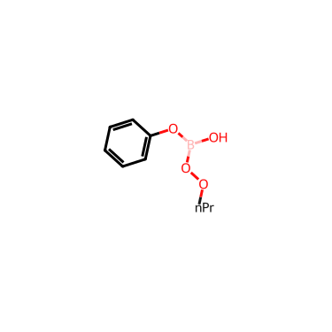 CCCOOB(O)Oc1ccccc1